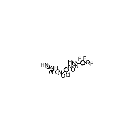 Cn1c(-c2ccc(OCF)c(F)c2F)cnc1C(=O)Nc1ccc(C(=O)N2CCC(C(=O)N[C@@H]3CCNC3)CC2)c(Cl)c1